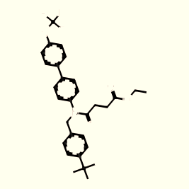 CCOC(=O)CCC(=O)N(Cc1ccc(C(C)(C)C)cc1)c1ccc(-c2ccc(OC(F)(F)F)cc2)cc1